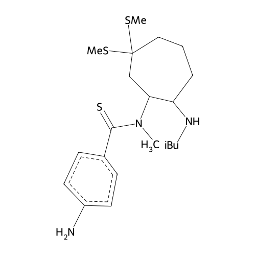 CCC(C)NC1CCCC(SC)(SC)CC1N(C)C(=S)c1ccc(N)cc1